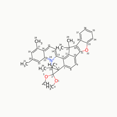 COC1(OC)C2(C)c3ccc4c(c3-c3ccc5c(C)cc(C)cc5[n+]3C12C)C(C)(C)c1c-4oc2ccccc12